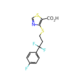 O=C(O)c1scnc1SCCC(F)(F)c1ccc(F)cc1